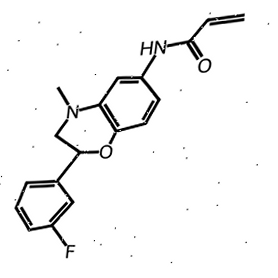 C=CC(=O)Nc1ccc2c(c1)N(C)CC(c1cccc(F)c1)O2